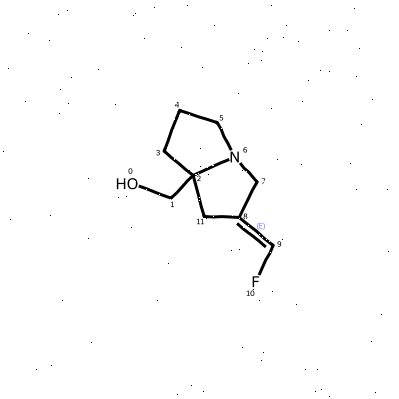 OCC12CCCN1C/C(=C/F)C2